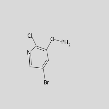 POc1cc(Br)cnc1Cl